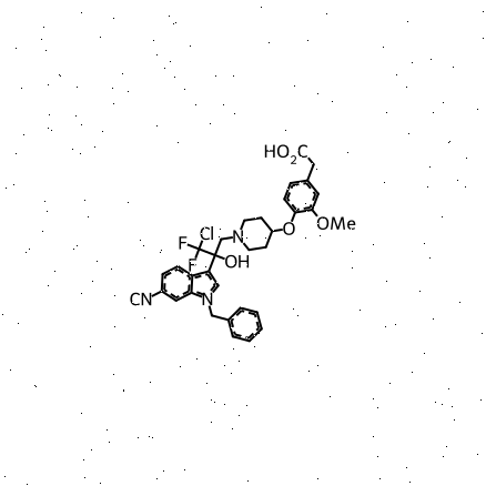 [C-]#[N+]c1ccc2c(C(O)(CN3CCC(Oc4ccc(CC(=O)O)cc4OC)CC3)C(F)(F)Cl)cn(Cc3ccccc3)c2c1